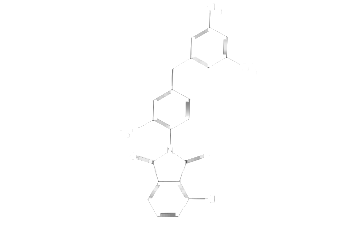 Cc1cc(Cc2cc(C(F)(F)F)cc(C(F)(F)F)c2)ccc1N1C(=O)c2cccc(Cl)c2C1=O